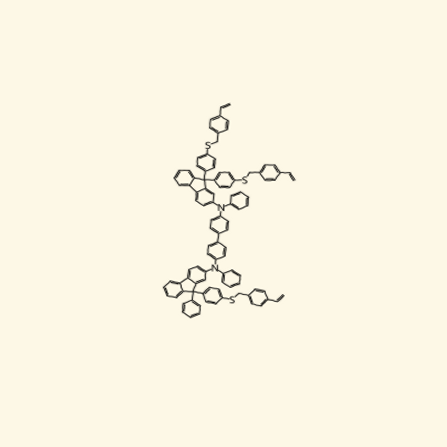 C=Cc1ccc(CSc2ccc(C3(c4ccccc4)c4ccccc4-c4ccc(N(c5ccccc5)c5ccc(-c6ccc(N(c7ccccc7)c7ccc8c(c7)C(c7ccc(SCc9ccc(C=C)cc9)cc7)(c7ccc(SCc9ccc(C=C)cc9)cc7)c7ccccc7-8)cc6)cc5)cc43)cc2)cc1